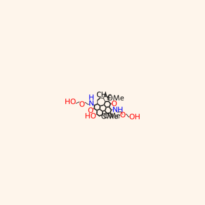 COc1c2c3c4c(c(NCCOCCO)c(=O)c5c(O)cc(OC)c(c6c(OC)cc(NCCOCCO)c(c1=O)c63)c54)C=C(C)C2C(C)=O